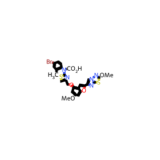 COc1cc(OCc2csc(N(C(=O)O)c3ccc(Br)cc3C)n2)c2cc(-c3cn4nc(OC)sc4n3)oc2c1